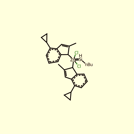 CCCC[SiH]=[Zr]([Cl])([Cl])([CH]1C(C)=Cc2c(C3CC3)cccc21)[CH]1C(C)=Cc2c(C3CC3)cccc21